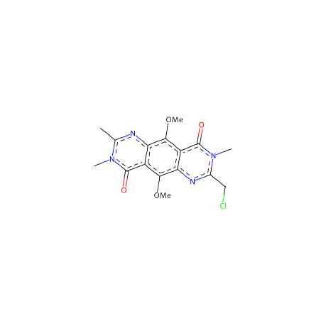 COc1c2nc(CCl)n(C)c(=O)c2c(OC)c2nc(C)n(C)c(=O)c12